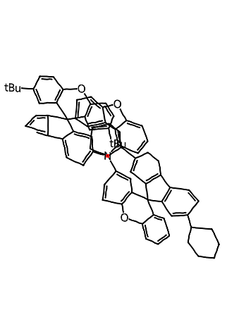 CC(C)(C)c1ccc2c(c1)C1(c3cc(C(C)(C)C)ccc3O2)c2ccccc2-c2ccc(N(c3ccc4c(c3)C3(C5=C(CCC(C6CCCCC6)=C5)c5ccc(C6CCCCC6)cc53)c3ccccc3O4)c3cccc4oc5ccccc5c34)cc21